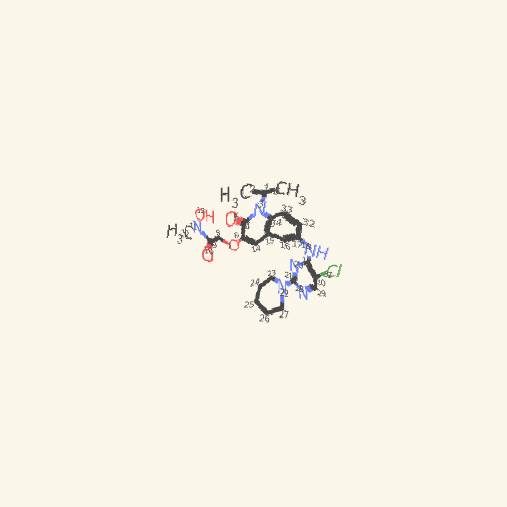 CC(C)n1c(=O)c(OCC(=O)N(C)O)cc2cc(Nc3nc(N4CCCCC4)ncc3Cl)ccc21